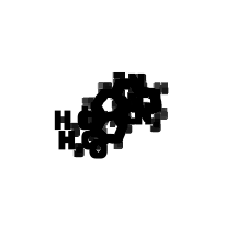 CC1(C)C(=O)CC[C@]2(C)c3c(cnc4ccnn34)CC[C@@H]12